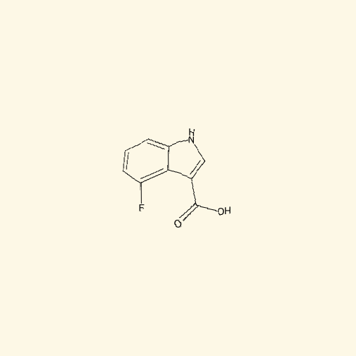 O=C(O)c1c[nH]c2cccc(F)c12